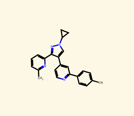 Cc1cccc(-c2nn(C3CC3)cc2-c2ccnc(-c3ccc(C#N)cc3)c2)n1